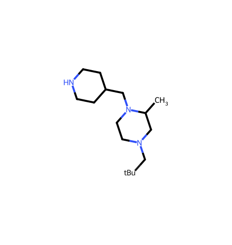 CC1CN(CC(C)(C)C)CCN1CC1CCNCC1